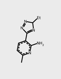 CCC1N=NC(c2ccc(C)nc2N)=N1